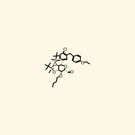 CCCCO[C@H]1[C@H](O[Si](C)(C)C(C)(C)C)[C@@H](O[Si](C)(C)C(C)(C)C)[C@H](c2ccc(Cl)c(Cc3ccc(OCC)cc3)c2)O[C@@H]1C=O